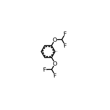 FC(F)Oc1[c]c(OC(F)F)ccc1